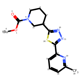 CC(C)(C)OC(=O)N1CCCC(c2nnc(-c3cccc(C(F)(F)F)n3)s2)C1